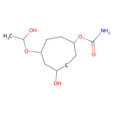 CC(O)OC1CCC(OC(N)=O)CCC(O)C1